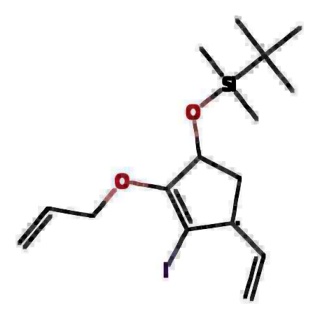 C=CCOC1=C(I)[C](C=C)CC1O[Si](C)(C)C(C)(C)C